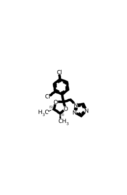 C[C@@H]1OC(Cn2cncn2)(c2ccc(Cl)cc2Cl)O[C@H]1C